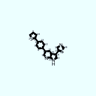 c1csc(-c2ccc(-c3cnc4[nH]cc(-c5cncs5)c4c3)cc2)c1